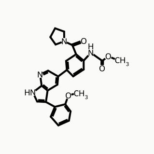 COC(=O)Nc1ccc(-c2cnc3[nH]cc(-c4ccccc4OC)c3c2)cc1C(=O)N1CCCC1